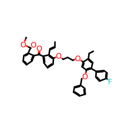 CC=Cc1c(OCCCOc2cc(OCc3ccccc3)c(-c3ccc(F)cc3)cc2CC)cccc1C(=O)c1ccccc1C(=O)OC